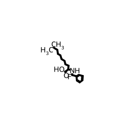 CC(C)CCCCCCCC(NC(F)c1ccccc1)C(=O)O